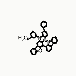 C=Pc1cccc(-n2c3cc4c5ccccc5oc4c4c3-n(c3ccc(-c5ccccc5)cc32)n2c3ccccc3c3cccc4c32)c1